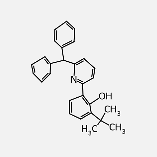 CC(C)(C)c1cccc(-c2cccc(C(c3ccccc3)c3ccccc3)n2)c1O